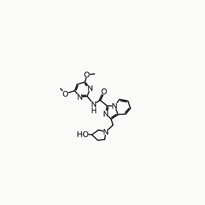 COc1cc(OC)nc(NC(=O)c2nc(CN3CCC(O)C3)c3ccccn23)n1